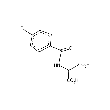 O=C(NC(C(=O)O)C(=O)O)c1ccc(F)cc1